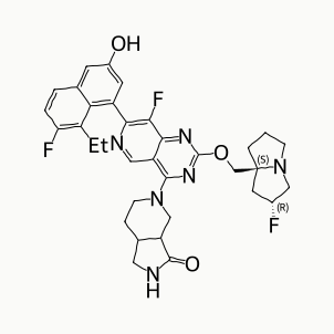 CCc1c(F)ccc2cc(O)cc(-c3ncc4c(N5CCC6CNC(=O)C6C5)nc(OC[C@@]56CCCN5C[C@H](F)C6)nc4c3F)c12